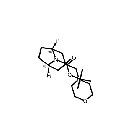 CC(C)(C)OC(=O)N1[C@@H]2CC[C@H]1CC(CN1CCOCC1)C2